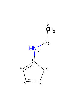 CCNC1=CC=CC1